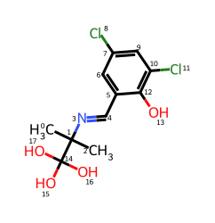 CC(C)(N=Cc1cc(Cl)cc(Cl)c1O)C(O)(O)O